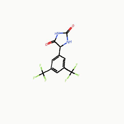 O=C1NC(=O)C(c2cc(C(F)(F)F)cc(C(F)(F)F)c2)N1